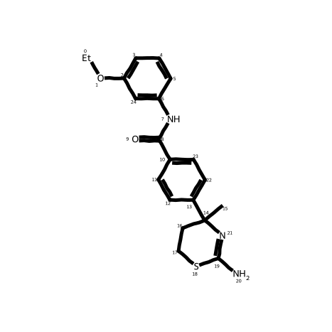 CCOc1cccc(NC(=O)c2ccc(C3(C)CCSC(N)=N3)cc2)c1